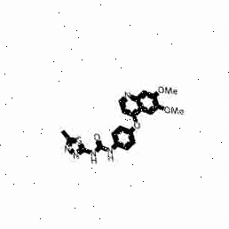 COc1cc2nccc(Oc3ccc(NC(=O)Nc4nnc(C)s4)cc3)c2cc1OC